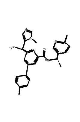 Cc1ccc(-c2cc(C(=O)N[C@H](C)c3ccc(C)nc3)cc(C(O)c3cncn3C)c2)cc1